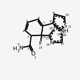 NC(=O)C1C=CC=C(c2ccsc2)C1(F)c1nc[nH]n1